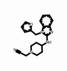 N#CCN1CCC(Nc2nc3ccccc3n2Cc2ccco2)CC1